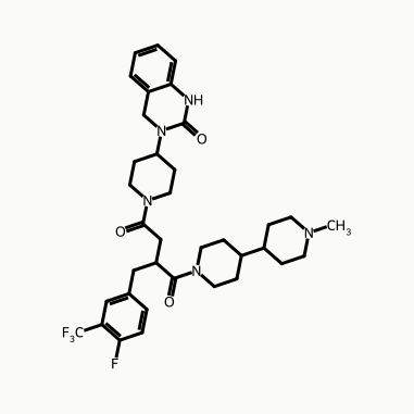 CN1CCC(C2CCN(C(=O)C(CC(=O)N3CCC(N4Cc5ccccc5NC4=O)CC3)Cc3ccc(F)c(C(F)(F)F)c3)CC2)CC1